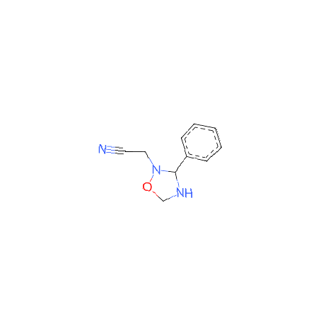 N#CCN1OCNC1c1ccccc1